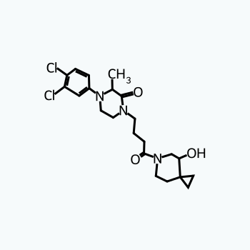 CC1C(=O)N(CCCC(=O)N2CCC3(CC3)C(O)C2)CCN1c1ccc(Cl)c(Cl)c1